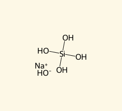 O[Si](O)(O)O.[Na+].[OH-]